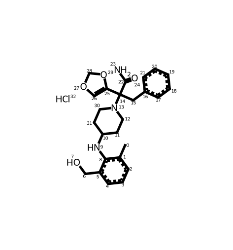 Cc1cccc(CO)c1NC1CCN(C(Cc2ccccc2)(C(N)=O)C2=COCO2)CC1.Cl